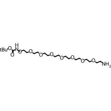 CC(C)(C)OC(=O)NOCCOCCOCCOCCOCCOCCOCCOCCN